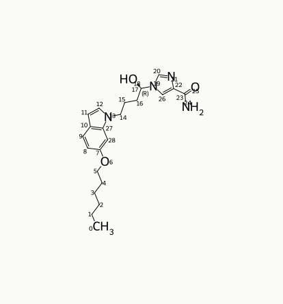 CCCCCCOc1ccc2ccn(CCC[C@@H](O)n3cnc(C(N)=O)c3)c2c1